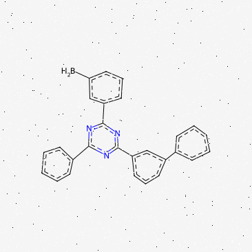 Bc1cccc(-c2nc(-c3ccccc3)nc(-c3cccc(-c4ccccc4)c3)n2)c1